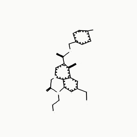 O=C(NCc1ccc(Cl)cc1)c1cn2c3c(cc(CCl)cc3c1=O)N(CCO)C(=O)C2